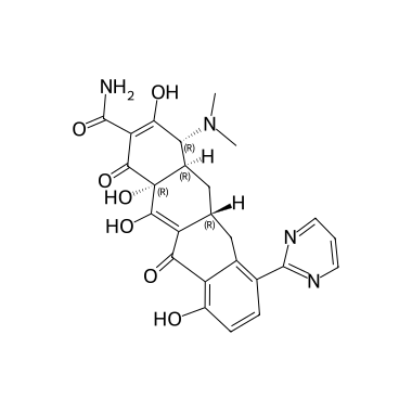 CN(C)[C@H]1C(O)=C(C(N)=O)C(=O)[C@]2(O)C(O)=C3C(=O)c4c(O)ccc(-c5ncccn5)c4C[C@H]3C[C@H]12